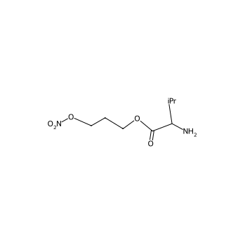 CC(C)C(N)C(=O)OCCCO[N+](=O)[O-]